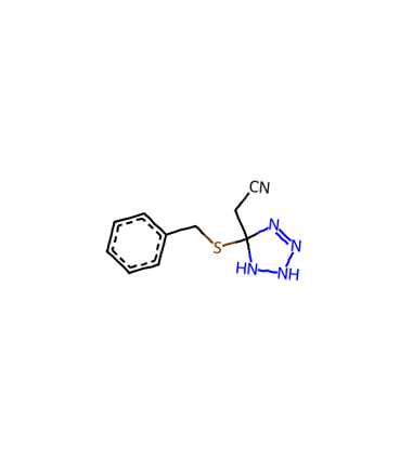 N#CCC1(SCc2ccccc2)N=NNN1